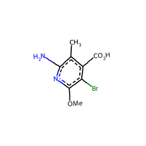 COc1nc(N)c(C)c(C(=O)O)c1Br